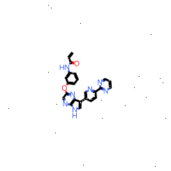 C=CC(=O)Nc1cccc(Oc2cnc3[nH]cc(-c4ccc(-c5ncccn5)nc4)c3n2)c1